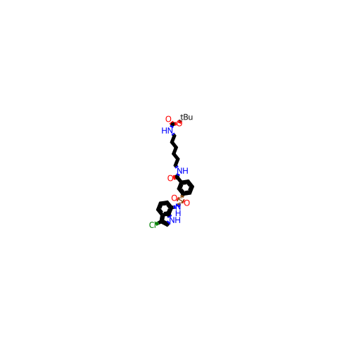 CC(C)(C)OC(=O)NCCCCCCNC(=O)c1cccc(S(=O)(=O)Nc2cccc3c(Cl)c[nH]c23)c1